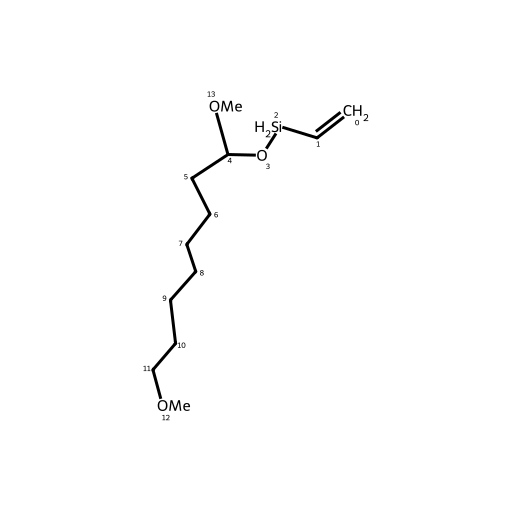 C=C[SiH2]OC(CCCCCCCOC)OC